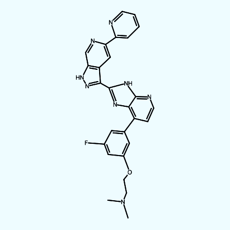 CN(C)CCOc1cc(F)cc(-c2ccnc3[nH]c(-c4n[nH]c5cnc(-c6ccccn6)cc45)nc23)c1